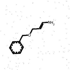 NC=CCOCc1ccccc1